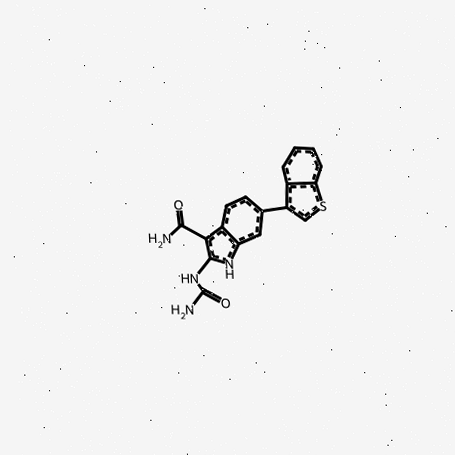 NC(=O)Nc1[nH]c2cc(-c3csc4ccccc34)ccc2c1C(N)=O